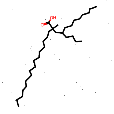 CCCCCCCCCCCCCCCCC(C)(CC(CCCC)CCCCCCCC)C(=O)O